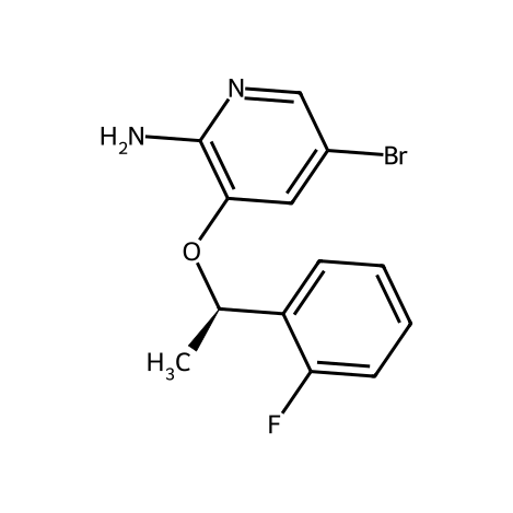 C[C@@H](Oc1cc(Br)cnc1N)c1ccccc1F